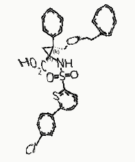 O=C(O)[C@@]1(NS(=O)(=O)c2ccc(-c3ccc(Cl)cc3)s2)C[C@@]1(COCc1ccccc1)c1ccccc1